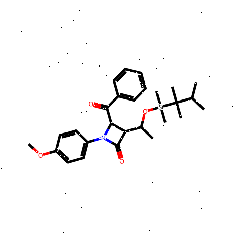 COc1ccc(N2C(=O)C(C(C)O[Si](C)(C)C(C)(C)C(C)C)C2C(=O)c2ccccc2)cc1